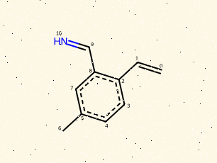 C=Cc1ccc(C)cc1C=N